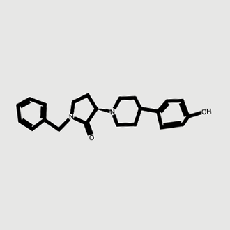 O=C1[C@H](N2CCC(c3ccc(O)cc3)CC2)CCN1Cc1ccccc1